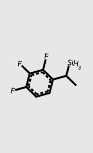 CC([SiH3])c1ccc(F)c(F)c1F